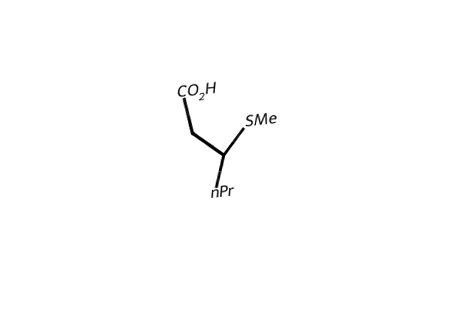 CCCC(CC(=O)O)SC